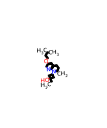 C=C1CCc2cc(OCCC(C)C)cnc2N1C1CC(O)(CC)C1